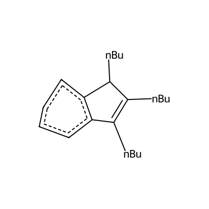 CCCCC1=C(CCCC)C(CCCC)c2ccccc21